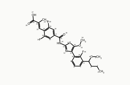 CCCC(OC)c1cccc(-c2nc(NC(=O)c3cc(F)c(C=C(C)C(=O)O)c(F)c3)sc2OC)c1F